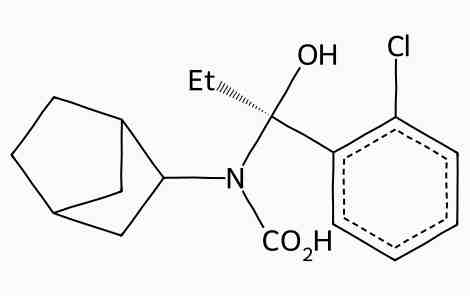 CC[C@](O)(c1ccccc1Cl)N(C(=O)O)C1CC2CCC1C2